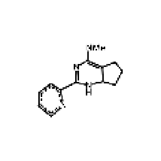 CNC1=C2CCCC2NC(c2ccccn2)=N1